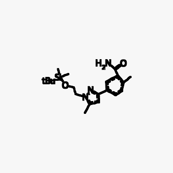 Cc1ccc(-c2cc(C)n(CCO[Si](C)(C)C(C)(C)C)n2)cc1C(N)=O